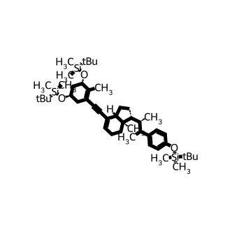 CC1=C(C#CC2=CCC[C@]3(C)[C@@H]([C@H](C)C(C)c4ccc(O[Si](C)(C)C(C)(C)C)cc4)CC[C@@H]23)C[C@@H](O[Si](C)(C)C(C)(C)C)C[C@@H]1O[Si](C)(C)C(C)(C)C